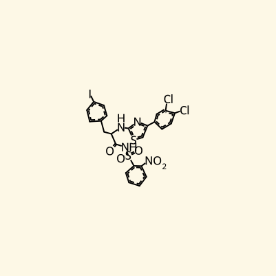 O=C(NS(=O)(=O)c1ccccc1[N+](=O)[O-])C(Cc1ccc(I)cc1)Nc1nc(-c2ccc(Cl)c(Cl)c2)cs1